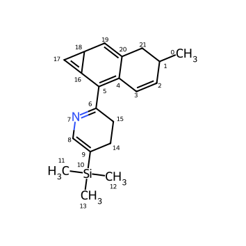 CC1C=CC2=C(C3=NC=C([Si](C)(C)C)CC3)C3=CC3C=C2C1